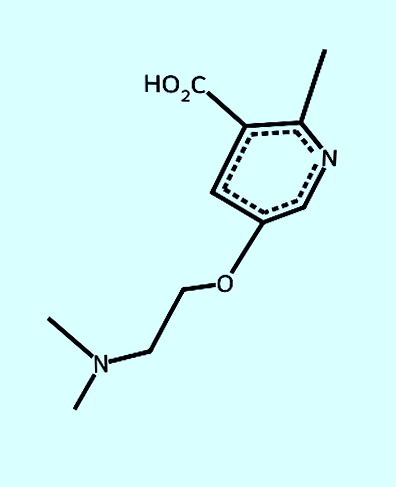 Cc1ncc(OCCN(C)C)cc1C(=O)O